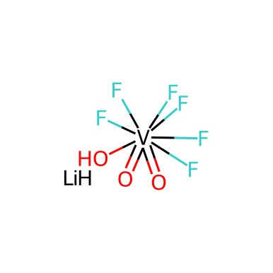 [LiH].[O]=[V](=[O])([OH])([F])([F])([F])([F])([F])[F]